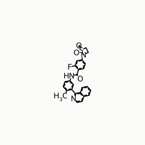 Cc1ccc(NC(=O)c2ccc(N3CCS3(=O)=O)cc2F)cc1-c1nccc2ccccc12